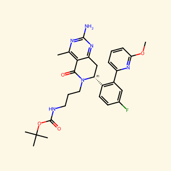 COc1cccc(-c2cc(F)ccc2[C@H]2Cc3nc(N)nc(C)c3C(=O)N2CCCNC(=O)OC(C)(C)C)n1